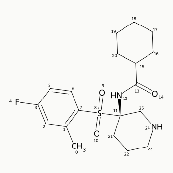 Cc1cc(F)ccc1S(=O)(=O)[C@@]1(NC(=O)C2CCCCC2)CCCNC1